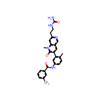 Cc1ccc(NC(=O)c2cccc(C(F)(F)F)c2)cc1-c1cc2cnc(CCNC(N)=O)cc2n(C)c1=O